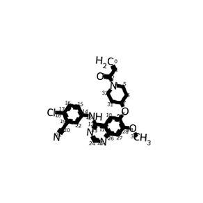 C=CC(=O)N1CCC(Oc2cc3c(Nc4ccc(Cl)c(C#N)c4)ncnc3cc2OC)CC1